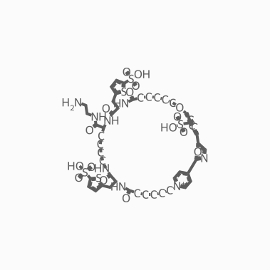 NCCNC(=O)C1CCCCNC(=O)C(Cc2ccc(S(=O)(=O)O)s2)NC(=O)CCCCC[n+]2ccc(cc2)-c2ncc(o2)-c2ccc(c(S(=O)(=O)O)c2)OCCCCCC(=O)NC(Cc2ccc(S(=O)(=O)O)s2)C(=O)N1